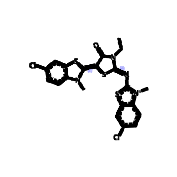 CCN1C(=O)/C(=C2\Sc3cc(Cl)ccc3N2C)S/C1=N\c1sc2cc(Cl)ccc2[n+]1C